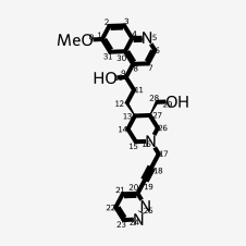 COc1ccc2nccc(C(O)CC[C@@H]3CCN(CC#Cc4cccnn4)C[C@@H]3CO)c2c1